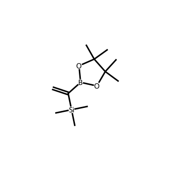 C=C(B1OC(C)(C)C(C)(C)O1)[Si](C)(C)C